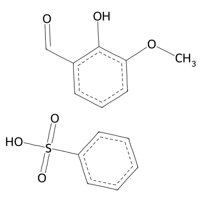 COc1cccc(C=O)c1O.O=S(=O)(O)c1ccccc1